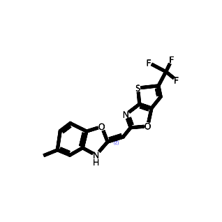 Cc1ccc2c(c1)N/C(=C/c1nc3sc(C(F)(F)F)cc3o1)O2